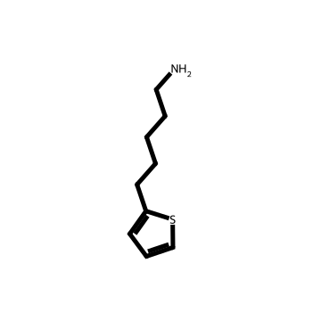 NCCCCCc1cccs1